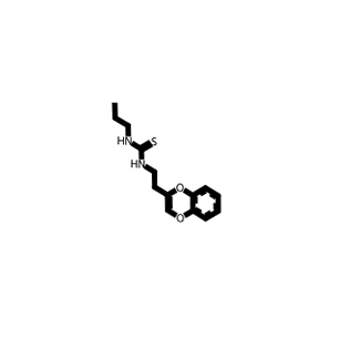 CCCNC(=S)NCCC1=COc2ccccc2O1